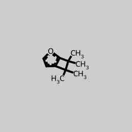 CC1(C)c2ccoc2C1(C)C